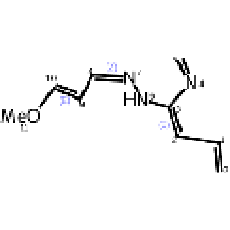 C=C/C=C(\N=C)N/N=C\C=C\OC